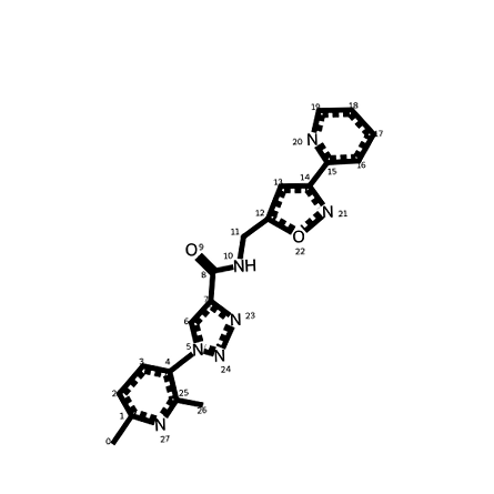 Cc1ccc(-n2cc(C(=O)NCc3cc(-c4ccccn4)no3)nn2)c(C)n1